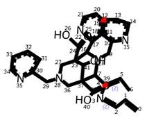 C=C/C=N\C(=C/C)C1N(Cc2ccccn2)C(c2ccccn2)C2(C(=O)O)CN(Cc3ccccn3)CC1(C(=O)O)C2O